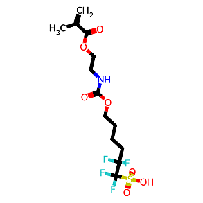 C=C(C)C(=O)OCCNC(=O)OCCCCC(F)(F)C(F)(F)S(=O)(=O)O